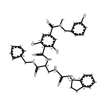 CN(Cc1cccc(Cl)c1)C(=O)c1cc(Cl)c(C(=O)NC(CNC(=O)N[C@@H]2CCc3ccccc32)C(=O)OCc2ccccc2)c(Cl)c1